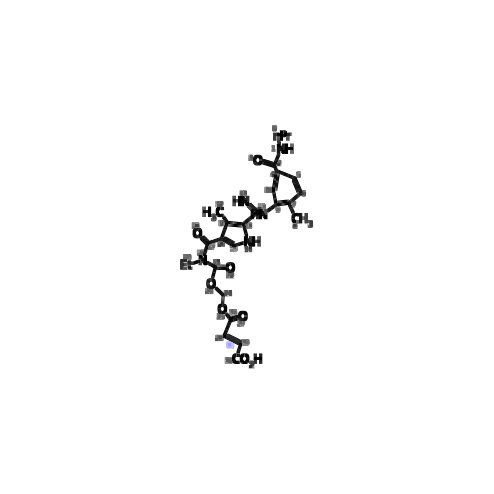 CCCNC(=O)c1ccc(C)c(NC(=N)c2[nH]cc(C(=O)N(CC)C(=O)OCOC(=O)/C=C/C(=O)O)c2C)c1